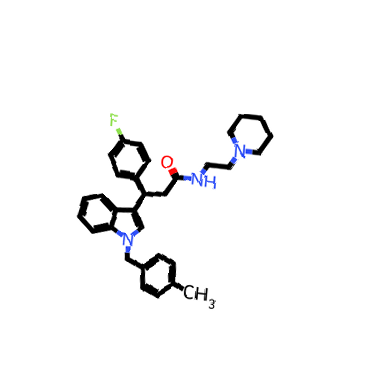 Cc1ccc(Cn2cc(C(CC(=O)NCCN3CCCCC3)c3ccc(F)cc3)c3ccccc32)cc1